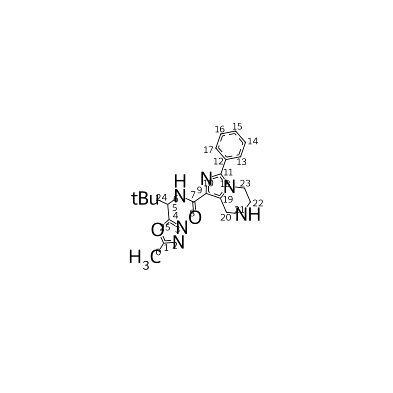 Cc1nnc(C(NC(=O)c2nc(-c3ccccc3)n3c2CNCC3)C(C)(C)C)o1